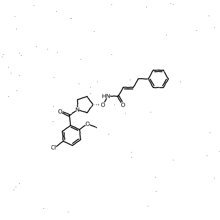 COc1ccc(Cl)cc1C(=O)N1CC[C@H](ONC(=O)/C=C/Cc2ccccc2)C1